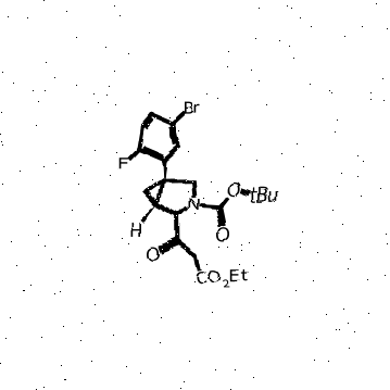 CCOC(=O)CC(=O)C1[C@@H]2C[C@]2(c2cc(Br)ccc2F)CN1C(=O)OC(C)(C)C